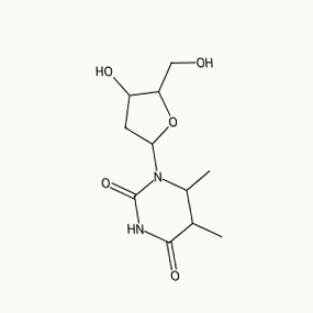 CC1C(=O)NC(=O)N(C2CC(O)C(CO)O2)C1C